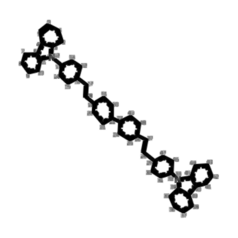 c1ccc2c(c#1)c1ccccc1n2-c1ccc(/C=C/c2ccc(-c3ccc(/C=C/c4ccc(-n5c6ccccc6c6ccccc65)cc4)cc3)cc2)cc1